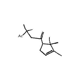 C=C(CC(C)(C)C(C)=O)C1CC=C(C)C1(C)C